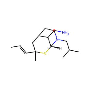 CC=CC1(C)CC2CCN(CC(C)C)[C@H](S1)C2CN